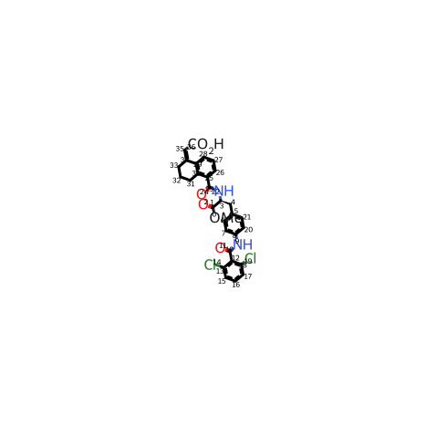 COC(=O)[C@H](Cc1ccc(NC(=O)c2c(Cl)cccc2Cl)cc1)NC(=O)c1cccc2c1CCC/C2=C/C(=O)O